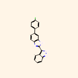 Clc1ccc(-c2ccc3nc(-c4[nH]nc5ccccc45)[nH]c3c2)cc1